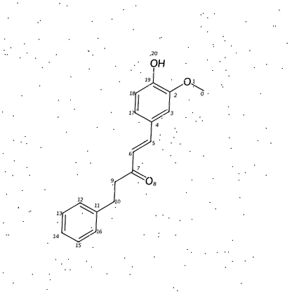 COc1cc(C=CC(=O)CCc2ccccc2)ccc1O